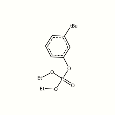 CCOP(=O)(OCC)Oc1cccc(C(C)(C)C)c1